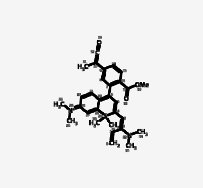 C=C/C(=C\C1=CC(c2cc(C(C)=C=O)ccc2C(=O)OC)=C2C=CC(=[N+](C)C)C=C2S1(C)C)N(C)C